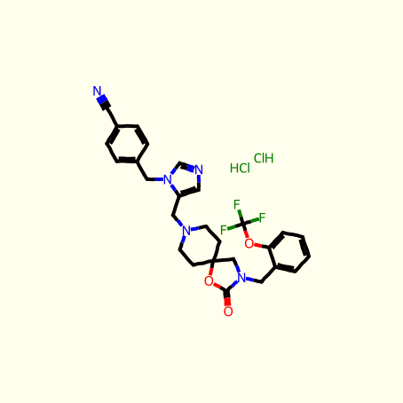 Cl.Cl.N#Cc1ccc(Cn2cncc2CN2CCC3(CC2)CN(Cc2ccccc2OC(F)(F)F)C(=O)O3)cc1